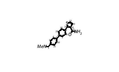 CNCc1ccc(-c2ccc(-c3sccc3C(N)=O)cc2)cc1